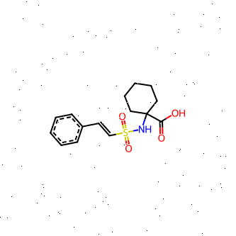 O=C(O)C1(NS(=O)(=O)C=Cc2ccccc2)CCCCC1